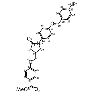 COC(=O)c1ccc(OCC2CC(=O)N(c3ccc(OCc4ccc(C(C)C)cc4)cc3)C2)cc1